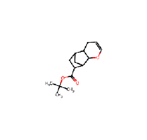 CC(C)(C)OC(=O)C1CC2CC1C1OC=CCC21